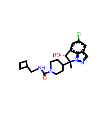 CC1(C2CCN(C(=O)NCC3CCC3)CC2)[C@H](O)c2cc(Cl)cc3cnn1c23